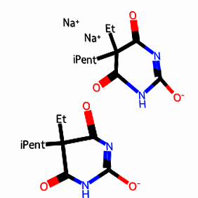 CCCC(C)C1(CC)C(=O)N=C([O-])NC1=O.CCCC(C)C1(CC)C(=O)N=C([O-])NC1=O.[Na+].[Na+]